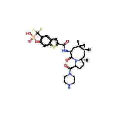 O=C(N[C@H]1C[C@@H]2C[C@@H]2C[C@H]2CC[C@@H](C(=O)N3CCNCC3)N2C1=O)c1cc2cc(C(F)(F)P(=O)(O)O)ccc2s1